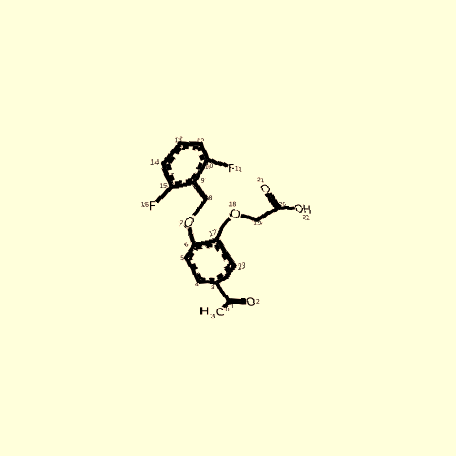 CC(=O)c1ccc(OCc2c(F)cccc2F)c(OCC(=O)O)c1